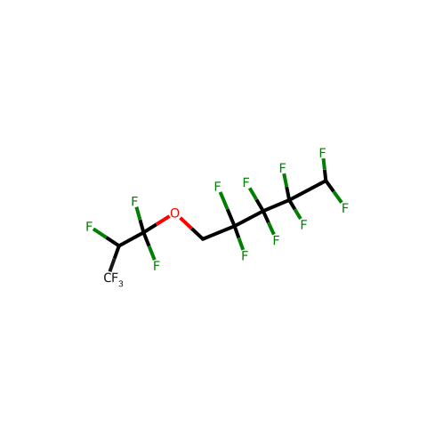 FC(C(F)(F)F)C(F)(F)OCC(F)(F)C(F)(F)C(F)(F)C(F)F